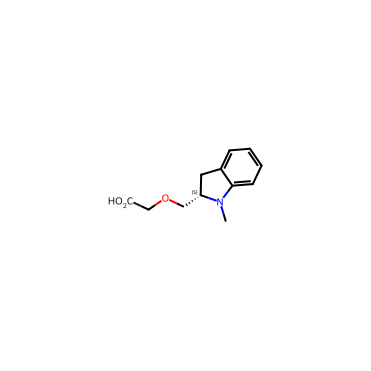 CN1c2ccccc2C[C@H]1COCC(=O)O